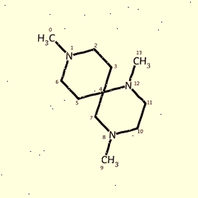 CN1CCC2(CC1)CN(C)CCN2C